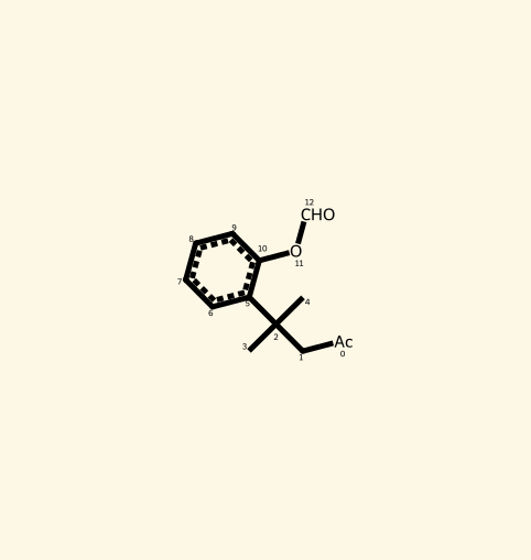 CC(=O)CC(C)(C)c1ccccc1OC=O